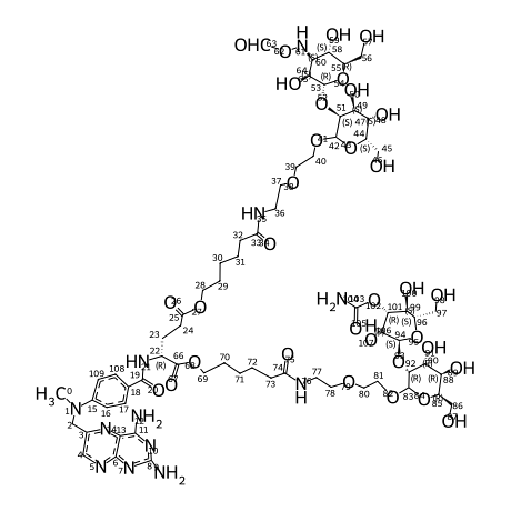 CN(Cc1cnc2nc(N)nc(N)c2n1)c1ccc(C(=O)N[C@H](CCC(=O)OCCCCCC(=O)NCCOCCOC2O[C@@H](CO)[C@@H](O)[C@H](O)[C@@H]2O[C@H]2O[C@H](CO)[C@@H](O)[C@H](NOC=O)[C@@H]2O)C(=O)OCCCCCC(=O)NCCOCCOC2O[C@H](CO)[C@H](O)[C@@H](O)[C@H]2O[C@@H]2O[C@@H](CO)[C@H](O)[C@@H](OC(N)=O)[C@H]2O)cc1